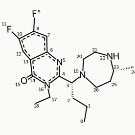 CCC[C@H](c1nc2cc(F)c(F)cc2c(=O)n1CC)N1CCN[C@H](C)CC1